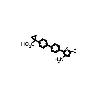 Nc1cc(Cl)sc1-c1ccc(-c2ccc(C3(C(=O)O)CC3)cc2)cc1